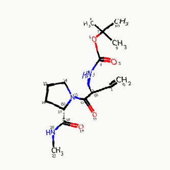 C=C[C@H](NC(=O)OC(C)(C)C)C(=O)N1CCC[C@H]1C(=O)NC